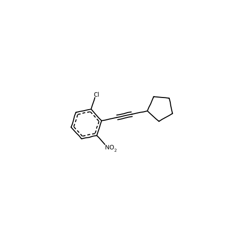 O=[N+]([O-])c1cccc(Cl)c1C#CC1CCCC1